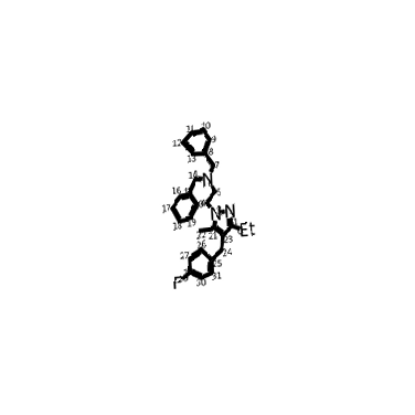 CCc1nn(CCN(Cc2ccccc2)Cc2ccccc2)c(C)c1Cc1ccc(F)cc1